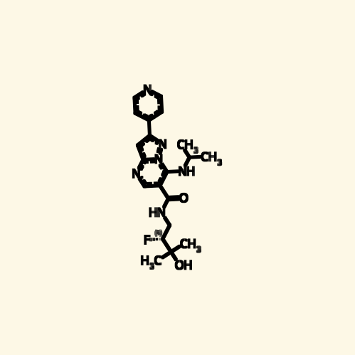 CC(C)Nc1c(C(=O)NC[C@@H](F)C(C)(C)O)cnc2cc(-c3ccncc3)nn12